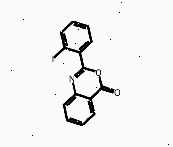 O=c1oc(-c2ccccc2I)nc2ccccc12